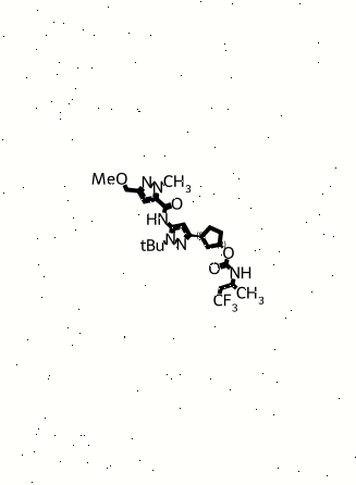 COCc1cc(C(=O)Nc2cc([C@H]3CC[C@@H](OC(=O)NC(C)CC(F)(F)F)C3)nn2C(C)(C)C)n(C)n1